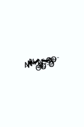 [N-]=[N+]=NCCN(CCO[N+](=O)[O-])[N+](=O)[O-]